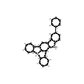 c1ccc(-c2ccc3[nH]c4c(cc5c6ccccc6n6c7ccccc7c4c56)c3c2)cc1